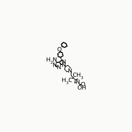 CC(C)(CCN1CCC(n2nc(-c3ccc(Oc4ccccc4)cc3)c3c(N)ncnc32)CC1)C1CN(C(=O)O)C1